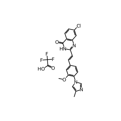 COc1cc(C=Cc2nc3cc(Cl)ccc3c(=O)[nH]2)ccc1-n1cnc(C)c1.O=C(O)C(F)(F)F